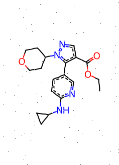 CCOC(=O)c1cnn(C2CCOCC2)c1-c1ccc(NC2CC2)nc1